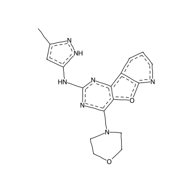 Cc1cc(Nc2nc(N3CCOCC3)c3oc4ncccc4c3n2)[nH]n1